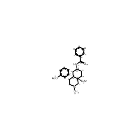 CC(=O)Oc1cccc([C@@]23CCN(C)C[C@@]2(OC(C)=O)CC[C@H](NC(=O)c2ccccc2)C3)c1